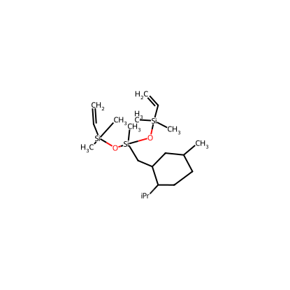 C=C[Si](C)(C)O[Si](C)(CC1CC(C)CCC1C(C)C)O[Si](C)(C)C=C